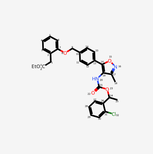 CCOC(=O)Cc1ccccc1OCc1ccc(-c2onc(C)c2NC(=O)OC(C)c2ccccc2Cl)cc1